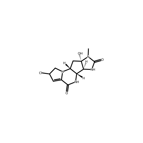 CN1C(=O)N[C@H]2[C@@H]3NC(=O)C4=CC(Cl)CN4[C@@H]3C[C@]21O